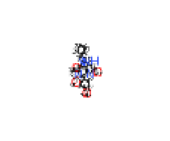 COc1cc(Cn2c(CN3CCCC3)c3c(=O)n(Cc4ccccc4)[nH]c3cc2=O)cc(OC)c1